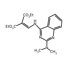 CCOC(=O)C(=CNc1nc(N(C)C)nc2ccccc12)C(=O)OCC